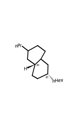 CCCCCC[C@@H]1CC[C@@H]2CC(CCC)CCC2C1